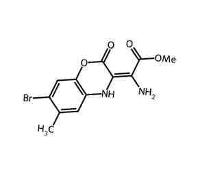 COC(=O)/C(N)=C1/Nc2cc(C)c(Br)cc2OC1=O